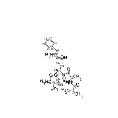 CC(N)C(=O)NC(C)C(=O)N(C(=O)CC[C@H](O)[C@@H](N)Cc1ccccc1)C(C(=O)NC(C(N)=O)C(C)C)C(C)C